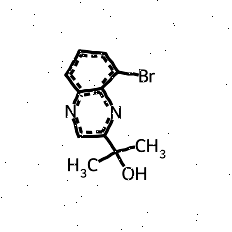 CC(C)(O)c1cnc2cccc(Br)c2n1